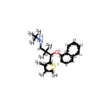 [2H]c1sc(C(Oc2cccc3ccccc23)C([2H])([2H])CNC([2H])([2H])[2H])c([2H])c1[2H]